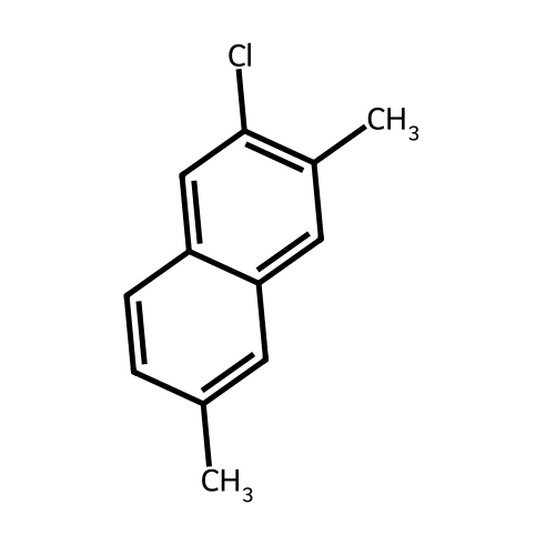 Cc1ccc2cc(Cl)c(C)cc2c1